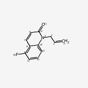 C=CCn1c(=O)ccc2c(F)cccc21